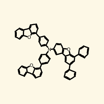 c1ccc(-c2cc(-c3ccccc3)c3oc4ccc(N(c5ccc(-c6cccc7c6oc6ccccc67)cc5)c5ccc(-c6cccc7c6oc6ccccc67)cc5)cc4c3c2)cc1